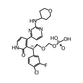 O=c1[nH]ccc(-c2ccnc(NC3CCOCC3)n2)c1[C@@H](COCOP(=O)(O)O)c1ccc(Cl)c(F)c1